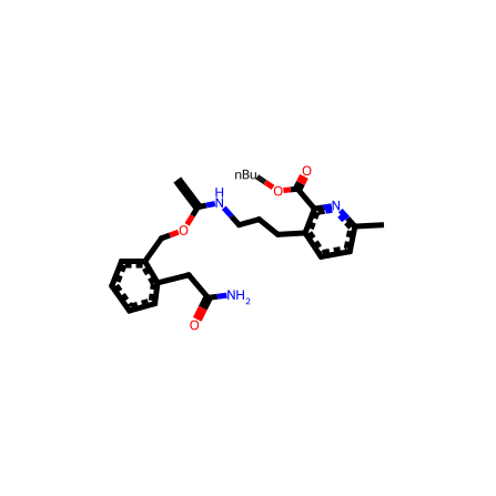 C=C(NCCCc1ccc(C)nc1C(=O)OCCCC)OCc1ccccc1CC(N)=O